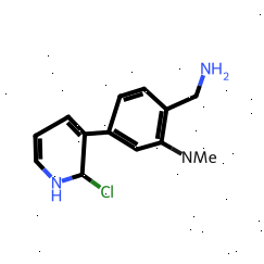 CNc1cc(C2=CC=CNC2Cl)ccc1CN